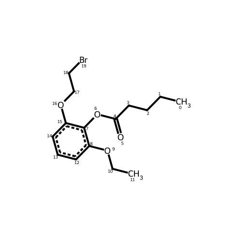 CCCCC(=O)Oc1c(OCC)cccc1OCCBr